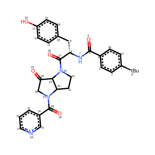 CC(C)(C)c1ccc(C(=O)N[C@@H](Cc2ccc(O)cc2)C(=O)N2CCC3C2C(=O)CN3C(=O)c2cccnc2)cc1